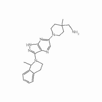 CC1c2ccccc2CCN1c1n[nH]c2nc(N3CCC(C)(CN)CC3)cnc12